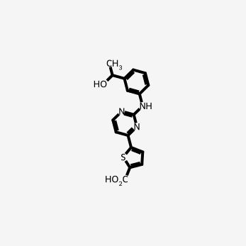 CC(O)c1cccc(Nc2nccc(-c3ccc(C(=O)O)s3)n2)c1